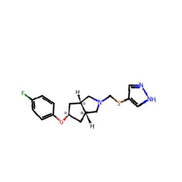 Fc1ccc(O[C@H]2C[C@@H]3CN(CSc4cn[nH]c4)C[C@@H]3C2)cc1